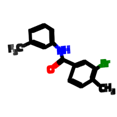 Cc1ccc(C(=O)Nc2cccc(C(F)(F)F)c2)cc1Br